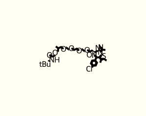 Cc1sc2c(c1C)C(c1ccc(Cl)cc1)=N[C@@H](CC(=O)OCCOCCOCCOCC(C)COCC(=O)NCC(C)(C)C)c1nnc(C)n1-2